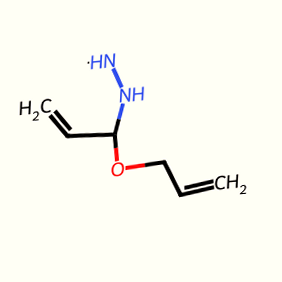 C=CCOC(C=C)N[NH]